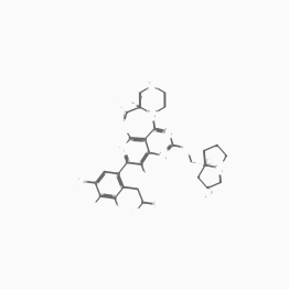 CC[C@@H]1NCCN2c3nc(OC[C@@]45CCCN4C[C@H](F)C5)nc4c(F)c(-c5cc(N)c(F)c(F)c5CC(F)F)nc(c34)O[C@@H](C)[C@H]12